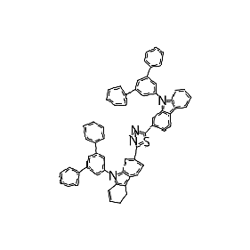 C1=Cc2c(c3ccc(-c4nnc(-c5ccc6c7ccccc7n(-c7cc(-c8ccccc8)cc(-c8ccccc8)c7)c6c5)s4)cc3n2-c2cc(-c3ccccc3)cc(-c3ccccc3)c2)CC1